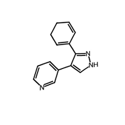 C1=CC(c2n[nH]cc2-c2cccnc2)=CCC1